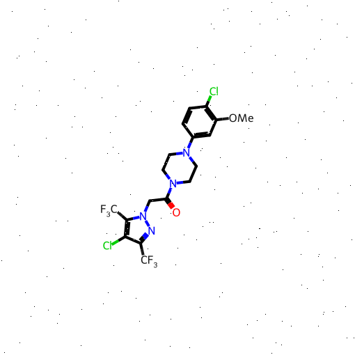 COc1cc(N2CCN(C(=O)Cn3nc(C(F)(F)F)c(Cl)c3C(F)(F)F)CC2)ccc1Cl